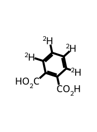 [2H]c1c([2H])c([2H])c(C(=O)O)c(C(=O)O)c1[2H]